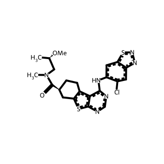 CO[C@@H](C)CN(C)C(=O)[C@H]1CCc2c(sc3ncnc(Nc4cc5snnc5cc4Cl)c23)C1